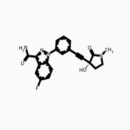 CN1CC[C@@](O)(C#Cc2cccc(-n3nc(C(N)=O)c4cc(F)ccc43)c2)C1=O